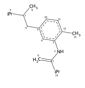 C=C(Nc1cc(CC(C)C(C)C)ccc1C)C(C)C